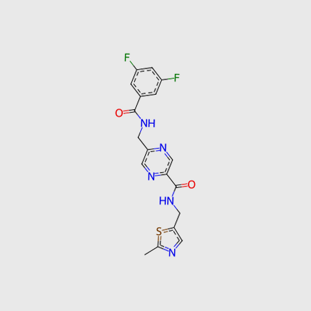 Cc1ncc(CNC(=O)c2cnc(CNC(=O)c3cc(F)cc(F)c3)cn2)s1